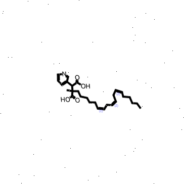 CCCCC/C=C\C/C=C\C/C=C\CCCCCC(C)(C(=O)O)C(C(=O)O)c1cccnc1